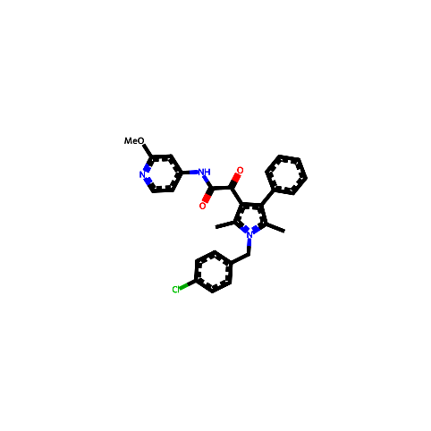 COc1cc(NC(=O)C(=O)c2c(-c3ccccc3)c(C)n(Cc3ccc(Cl)cc3)c2C)ccn1